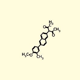 COc1ccc(-c2ccc3cc(C(C(C)=O)C(C)=O)ccc3c2)cc1C